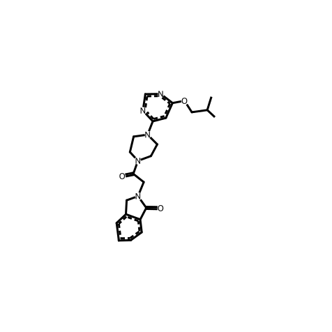 CC(C)COc1cc(N2CCN(C(=O)CN3Cc4ccccc4C3=O)CC2)ncn1